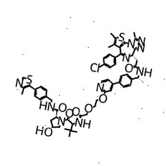 Cc1ncsc1-c1ccc(CNC(=O)[C@@H]2C[C@@H](O)CN2C(=O)C(NC(=O)COCCOc2cc(-c3ccc([C@@H](C)NC(=O)C[C@@H]4N=C(c5ccc(Cl)cc5)c5c(sc(C)c5C)-n5c(C)nnc54)cc3)ccn2)C(C)(C)C)cc1